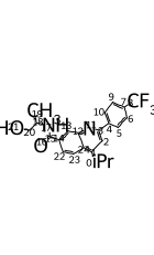 CC(C)c1cc(-c2ccc(C(F)(F)F)cc2)nc2cc(C(=O)N[C@H](C)CO)ccc12